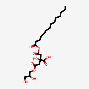 CCCCCCCCCCCCCC(=O)OC(=O)CC(O)(CC(=O)OCC(O)CO)C(=O)O